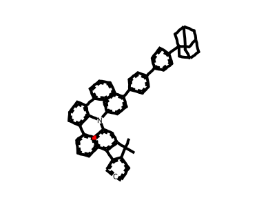 CC1(C)c2ccccc2-c2ccc(N(c3ccc(-c4ccc(-c5ccc(C67CC8CC(CC(C8)C6)C7)cc5)cc4)cc3)c3c(-c4ccccc4)cccc3-c3ccccc3)cc21